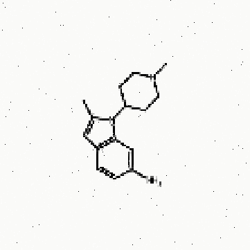 Cc1cc2ccc(N)cc2n1C1CCN(C)CC1